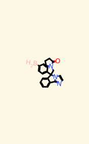 Bc1ccc(C2(CN3CCCC3=O)c3ccccc3-c3nccn32)cc1